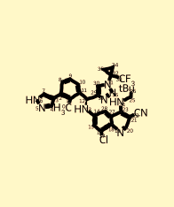 Cc1c(-c2cn[nH]c2)cccc1[C@H](Nc1cc(Cl)c2ncc(C#N)c(NCC(C)(C)C)c2c1)c1cn(C2(C(F)(F)F)CC2)nn1